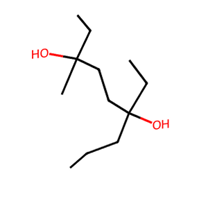 CCCC(O)(CC)CCC(C)(O)CC